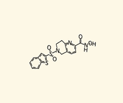 O=C(NO)c1ccc2c(n1)CCN(S(=O)(=O)c1cc3ccccc3s1)C2